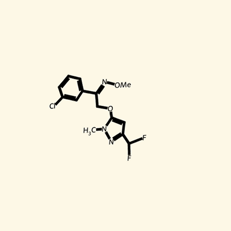 CON=C(COc1cc(C(F)F)nn1C)c1cccc(Cl)c1